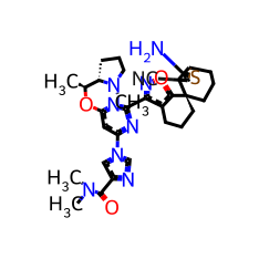 C[C@H](Oc1cc(-n2cnc(C(=O)N(C)C)c2)nc(-c2noc3c2CCC[C@@]32CCCc3sc(N)c(C#N)c32)n1)[C@@H]1CCCN1C